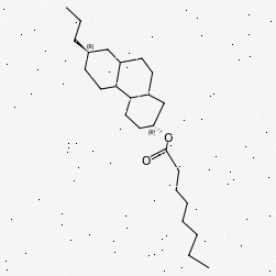 CCCCCCCC(=O)O[C@@H]1CCC2C(CCC3C[C@H](CCC)CCC32)C1